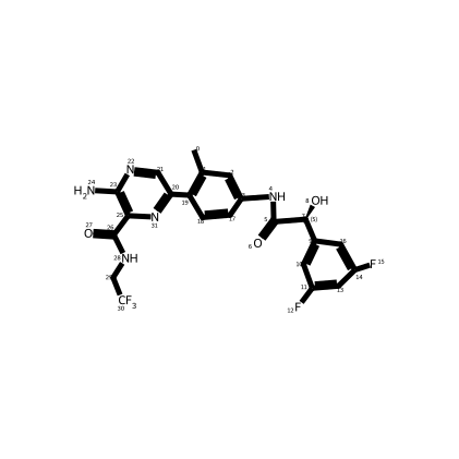 Cc1cc(NC(=O)[C@@H](O)c2cc(F)cc(F)c2)ccc1-c1cnc(N)c(C(=O)NCC(F)(F)F)n1